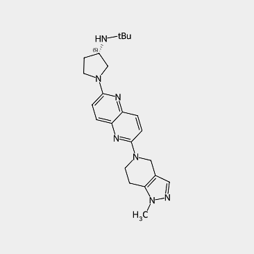 Cn1ncc2c1CCN(c1ccc3nc(N4CC[C@H](NC(C)(C)C)C4)ccc3n1)C2